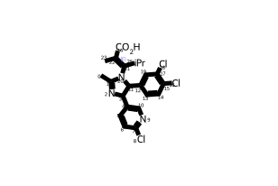 CC1=NC(c2ccc(Cl)nc2)C(c2ccc(Cl)c(Cl)c2)N1/C(=C(\C)C(=O)O)C(C)C